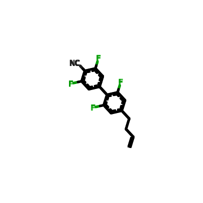 C=CCCc1cc(F)c(-c2cc(F)c(C#N)c(F)c2)c(F)c1